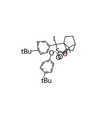 CC(C)(C)c1ccc(OS(=O)(=O)C(I)(c2ccc(C(C)(C)C)cc2)C23CCC(CC2=O)C3(C)C)cc1